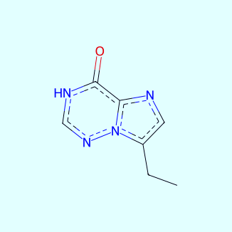 CCc1cnc2c(=O)[nH]cnn12